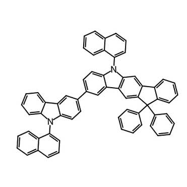 c1ccc(C2(c3ccccc3)c3ccccc3-c3cc4c(cc32)c2cc(-c3ccc5c(c3)c3ccccc3n5-c3cccc5ccccc35)ccc2n4-c2cccc3ccccc23)cc1